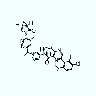 Cc1cc(C(C)n2cc(NC(=O)c3nc(-c4c(C(F)I)ccc(Cl)c4I)cnc3C(C)O)cn2)nnc1N1C[C@H]2C[C@H]2C1=O